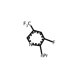 CCCc1ncc(C(F)(F)F)cc1F